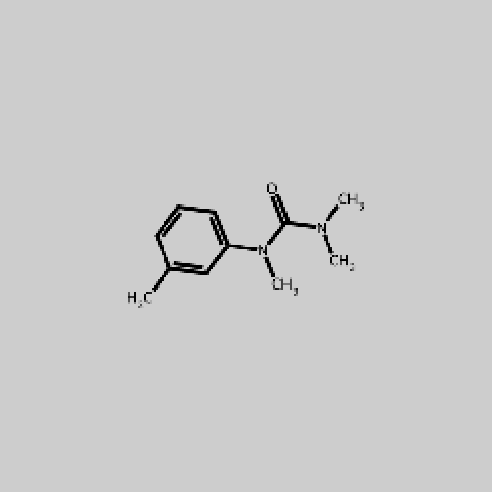 Cc1cccc(N(C)C(=O)N(C)C)c1